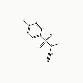 Cc1ccc(S(=O)(=O)C(C)C#N)cc1